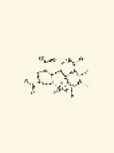 CCN(c1c([N+](=O)[O-])cc([N+](=O)[O-])cc1C(F)(F)F)c1c(Cl)c(F)c(Cl)c(F)c1[N+](=O)[O-]